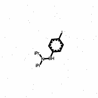 CC(C)N(Bc1ccc(I)cc1)C(C)C